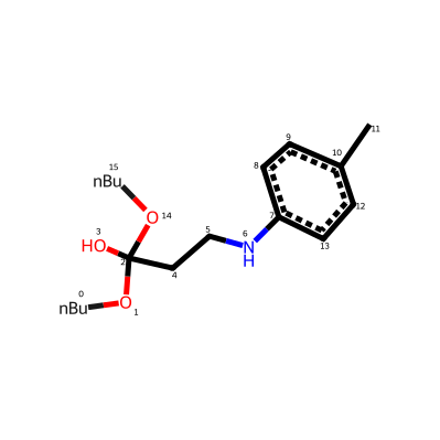 CCCCOC(O)(CCNc1ccc(C)cc1)OCCCC